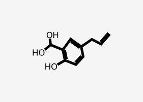 C=CCc1ccc(O)c(C(O)O)c1